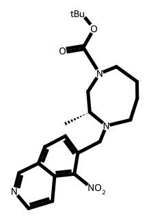 C[C@@H]1CN(C(=O)OC(C)(C)C)CCCCN1Cc1ccc2cnccc2c1[N+](=O)[O-]